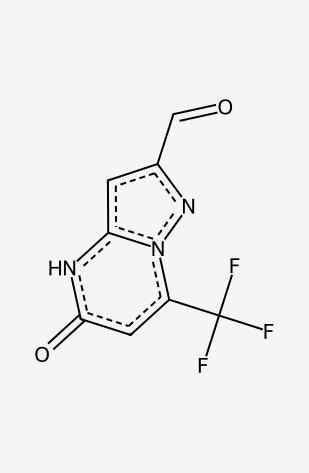 O=Cc1cc2[nH]c(=O)cc(C(F)(F)F)n2n1